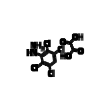 NNc1c(Cl)c(Cl)cc(Cl)c1Cl.O=C(O)C(=O)O